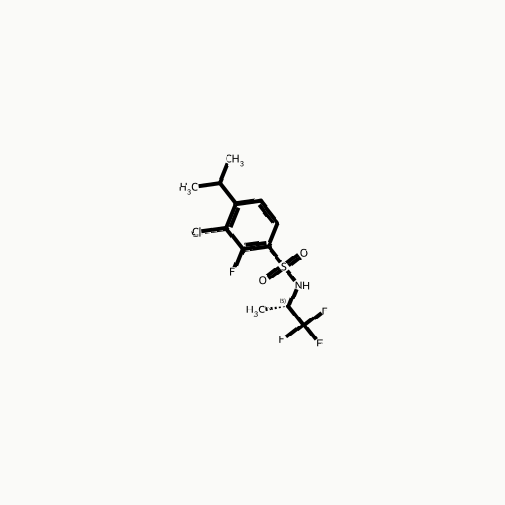 CC(C)c1ccc(S(=O)(=O)N[C@@H](C)C(F)(F)F)c(F)c1Cl